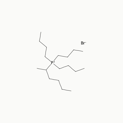 CCCCC(C)[P+](CCCC)(CCCC)CCCC.[Br-]